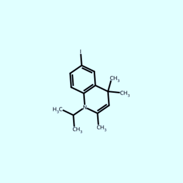 CC1=CC(C)(C)c2cc(I)ccc2N1C(C)C